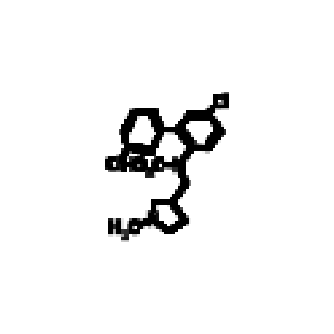 CN1CCC(CN(C(=O)O)c2ccc(Cl)cc2-c2cccc(Cl)c2)C1